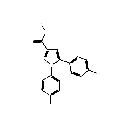 Cc1ccc(-n2nc(C(=O)NO)cc2-c2ccc(Br)cc2)cc1